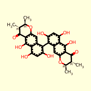 C[C@H]1Oc2cc3c(-c4c(O)cc(O)c5c(O)c6c(cc45)O[C@H](C)[C@@H](C)C6=O)c(O)cc(O)c3c(O)c2C(=O)[C@@H]1C